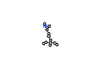 c1ccc2cc(-c3c4ccccc4c(-c4ccc5ccccc5c4)c4cc(-c5ccc6cc(-c7ccc8c(c7)c7ccccc7n7c9ccccc9nc87)ccc6c5)ccc34)ccc2c1